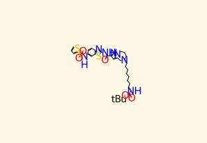 CC(C)(C)OC(=O)NCCCCCCCCN1CCCn2nc(C(=O)Nc3nc4ccc(NS(=O)(=O)c5cccs5)cc4s3)cc2C1